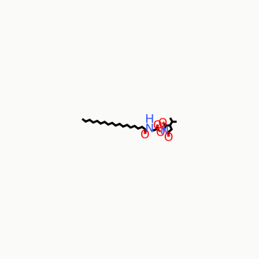 CCCCCCCCCCCCCCCCCC(=O)NCC(=O)ON1C(=O)CC(C(C)C)C1=O